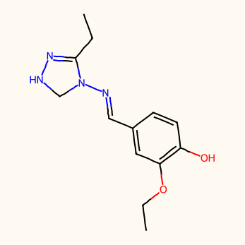 CCOc1cc(C=NN2CNN=C2CC)ccc1O